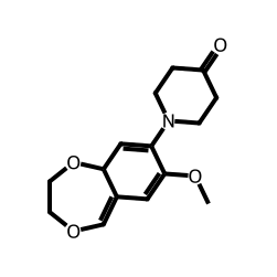 COC1=CC2=COCCOC2C=C1N1CCC(=O)CC1